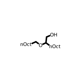 CCCCCCCCCOC(CO)CCCCCCCC